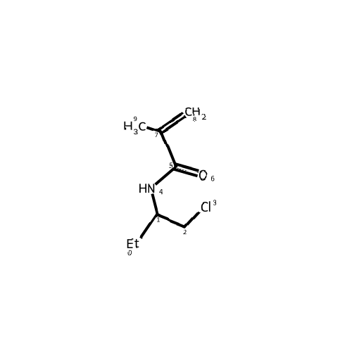 [CH2]CC(CCl)NC(=O)C(=C)C